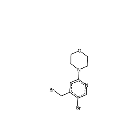 BrCc1cc(N2CCOCC2)ncc1Br